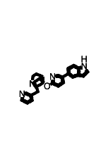 c1cncc(CC2C(Oc3ccc(-c4ccc5[nH]ccc5c4)cn3)C3CCN2CC3)c1